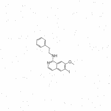 COc1cc2c(NCCc3ccccc3)nccc2cc1I